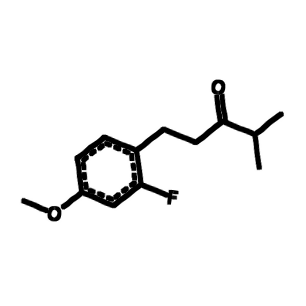 COc1ccc(CCC(=O)C(C)C)c(F)c1